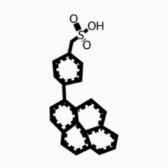 O=S(=O)(O)Cc1ccc(-c2ccc3ccc4cccc5ccc2c3c45)cc1